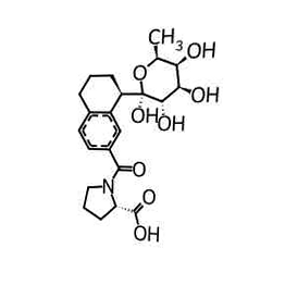 C[C@@H]1O[C@](O)([C@@H]2CCCc3ccc(C(=O)N4CCC[C@H]4C(=O)O)cc32)[C@@H](O)[C@H](O)[C@@H]1O